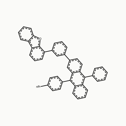 CCCc1ccc(-c2c3ccccc3c(-c3ccccc3)c3ccc(-c4cccc(-c5cccc6c5oc5ccccc56)c4)cc23)cc1